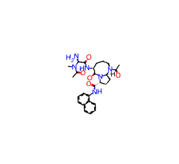 CC(=O)N(C)[C@@H](N)C(=O)NC1CCCN(C(C)=O)[C@H]2CC[C@H](C(=O)Nc3cccc4ccccc34)N2C1=O